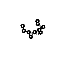 c1ccc(-c2cccc(-c3ccc4c(c3)c3ccccc3n4-c3ccc4c(c3)Oc3cccc5c3c-4cc3c5c4ccccc4n3-c3ccc4ccccc4c3)c2)cc1